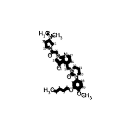 CCCCCOc1cc(N2CCCN(Cc3ccnc4c3c(Cl)cn4CC(=O)N3CC[C@@H](N(C)C)C3)C2=O)ccc1OC